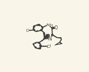 O=C1Nc2ccc(Cl)cc2C(c2ccccc2Cl)=NC1CC1CC1